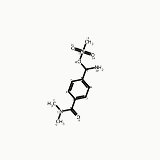 CN(C)C(=O)c1ccc(C(N)OS(C)(=O)=O)cc1